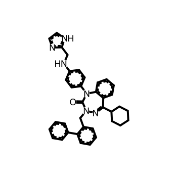 O=C1N(Cc2ccccc2-c2ccccc2)N=C(C2CCCCC2)c2ccccc2N1c1ccc(NCc2ncc[nH]2)cc1